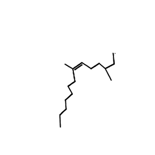 [CH2]CC(C)CCC=C(C)CCCCCCC